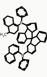 CC1CCC(N(C2=CC=CC3C2C2C=CC=CC2C32C3C=CC=CC3C3C=CC(N(C4=C5C=CC=CC5CC=C4)c4ccccc4)CC32)c2ccccc2)=C2CCC=CC21